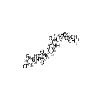 CC(C)(C)OC(=O)N1CCN(C(=O)c2cc3cc(N4CC[C@](O)(C(=O)NCc5cc(F)cc(Cl)c5)C4=O)ccc3[nH]2)CC1